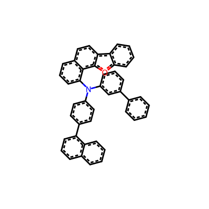 c1ccc(-c2cccc(N(c3ccc(-c4cccc5ccccc45)cc3)c3cccc4ccc5c6ccccc6oc5c34)c2)cc1